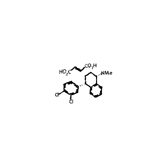 CN[C@H]1CC[C@@H](c2ccc(Cl)c(Cl)c2)c2ccccc21.O=C(O)/C=C/C(=O)O